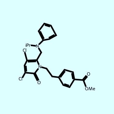 COC(=O)c1ccc(CCn2c(CN(c3ccccc3)C(C)C)c(Cl)cc(Cl)c2=O)cc1